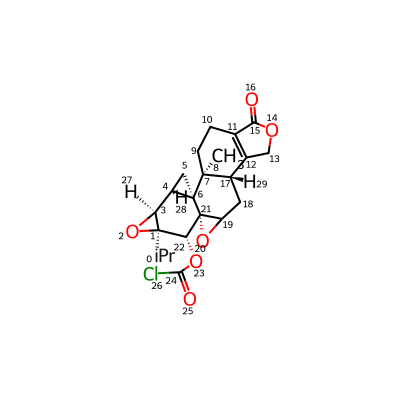 CC(C)[C@]12O[C@H]1[C@@H]1C[C@@]13[C@@]1(C)CCC4=C(COC4=O)[C@@H]1CC1O[C@@]13[C@@H]2OC(=O)Cl